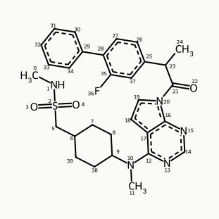 CNS(=O)(=O)CC1CCC(N(C)c2ncnc3c2ccn3C(=O)C(C)c2ccc(-c3ccccc3)c(F)c2)CC1